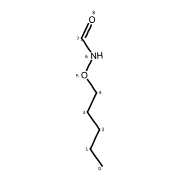 CCCCCON[C]=O